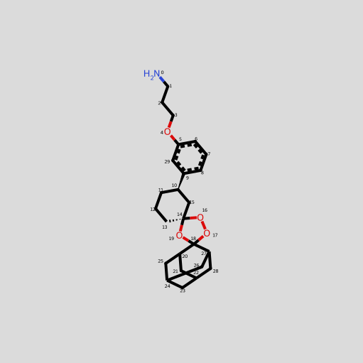 NCCCOc1cccc([C@@H]2CCC[C@]3(C2)OOC2(O3)C3CC4CC(C3)CC2C4)c1